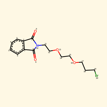 O=C1c2ccccc2C(=O)N1CCOCCOCCCBr